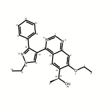 CCOc1cc2ncnc(-c3cn(CC)nc3-c3ccccc3)c2cc1[C@H](C)O